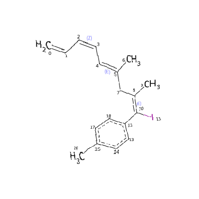 C=C/C=C\C=C(/C)C/C(C)=C(/I)c1ccc(C)cc1